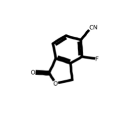 N#Cc1ccc2c(c1F)COC2=O